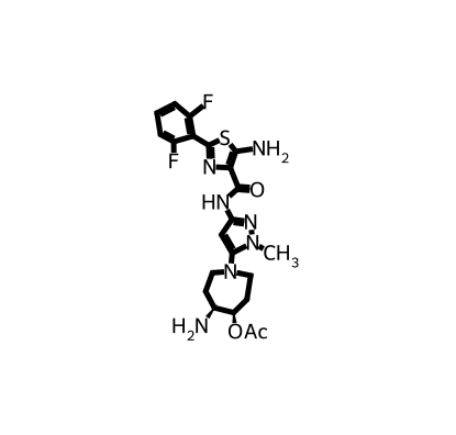 CC(=O)O[C@@H]1CCN(c2cc(NC(=O)c3nc(-c4c(F)cccc4F)sc3N)nn2C)CC[C@@H]1N